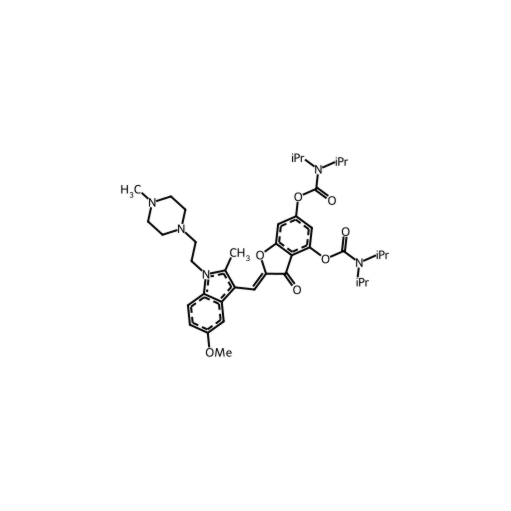 COc1ccc2c(c1)c(/C=C1\Oc3cc(OC(=O)N(C(C)C)C(C)C)cc(OC(=O)N(C(C)C)C(C)C)c3C1=O)c(C)n2CCN1CCN(C)CC1